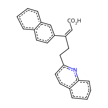 O=C(O)/C=C(/CCc1ccc2ccccc2n1)c1ccc2ccccc2c1